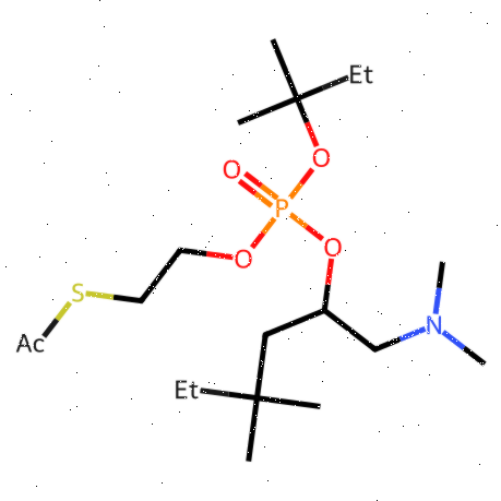 CCC(C)(C)CC(CN(C)C)OP(=O)(OCCSC(C)=O)OC(C)(C)CC